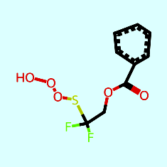 O=C(OCC(F)(F)SOOO)c1ccccc1